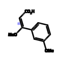 CO/C(=C/C(=O)O)c1cccc(OC)c1